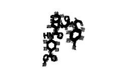 CCN(C(=O)Cn1c(C(=O)N[C@H]2CC[C@H](C(=O)OC)CC2)cc2sccc21)c1ccc(C)cc1